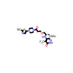 COC[C@@H](COCCC(=O)N1CCN(c2cnc(C#N)s2)CC1)Nc1cn[nH]c(=O)c1C(F)(F)F